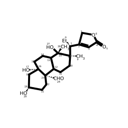 CC[C@H](C1=CC(=O)OC1)[C@@]1(C)CCC2C(CC[C@]3(O)C[C@@H](O)CC[C@]23C=O)[C@]1(C)O